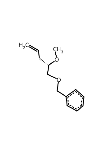 C=CC[C@@H](COCc1ccccc1)OC